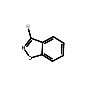 CCc1noc2ccccc12